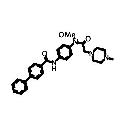 CON(C(=O)CN1CCN(C)CC1)c1ccc(NC(=O)c2ccc(-c3ccccc3)cc2)cc1